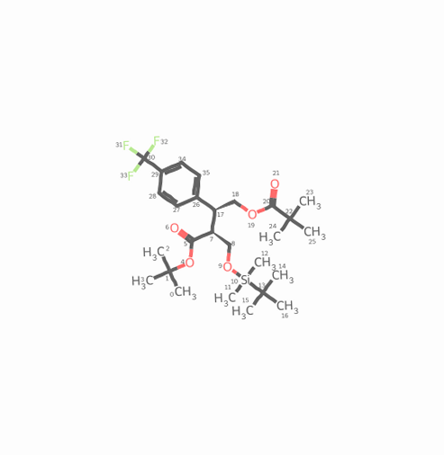 CC(C)(C)OC(=O)[C@H](CO[Si](C)(C)C(C)(C)C)[C@H](COC(=O)C(C)(C)C)c1ccc(C(F)(F)F)cc1